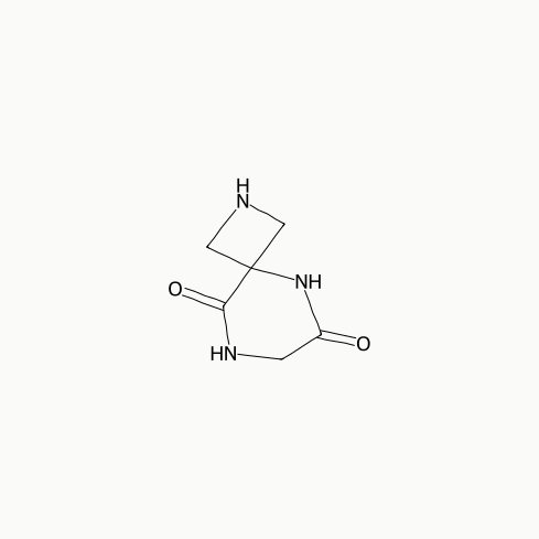 O=C1CNC(=O)C2(CNC2)N1